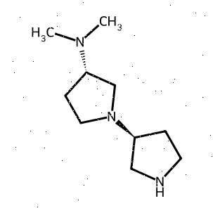 CN(C)[C@H]1CCN([C@H]2CCNC2)C1